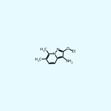 CCOc1nn2c(C)c(C)ccc2c1N